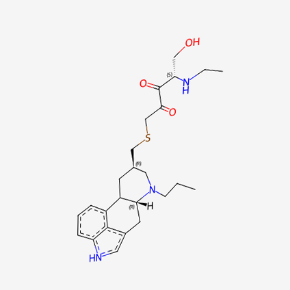 CCCN1C[C@H](CSCC(=O)C(=O)[C@H](CO)NCC)CC2c3cccc4[nH]cc(c34)C[C@H]21